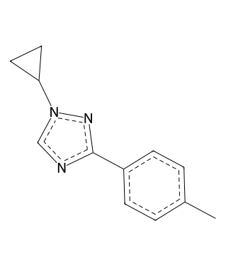 Cc1ccc(-c2ncn(C3CC3)n2)cc1